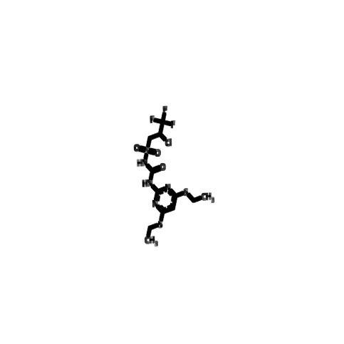 CCSc1cc(SCC)nc(NC(=O)NS(=O)(=O)CC(Cl)C(F)(F)F)n1